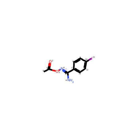 CC(=O)O/N=C(\N)c1ccc(I)cc1